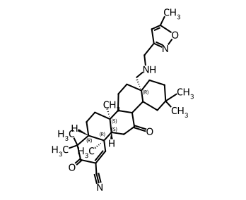 Cc1cc(CNC[C@@]23CCC4C(C(=O)C[C@@H]5[C@@]6(C)C=C(C#N)C(=O)C(C)(C)[C@@H]6CC[C@@]45C)C2CC(C)(C)CC3)no1